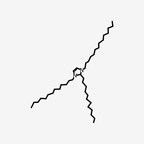 CCCCCCCCCCCCCCN1C=CN(CCCCCCCCCCCCC)C1CCCCCCCCCCCC